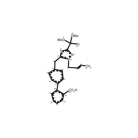 C/C=C/Cn1nc(C(CC)(OC)OC)nc1Cc1ccc(-c2ccccc2C(=O)O)cc1